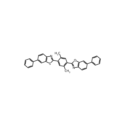 Cc1cc(-c2nc3ccc(-c4ccccc4)cc3s2)c(C)cc1-c1nc2ccc(-c3ccccc3)cc2o1